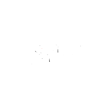 CCCO[C@H]1CC[C@H]2[C@@H]3C[C@@H](C)[C@H]4CC(=O)CC[C@]4(CO)[C@H]3CC[C@]12C